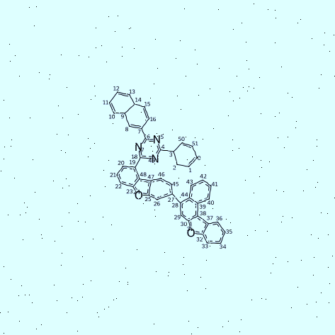 C1=CCC(c2nc(C3=CC4C=CC=CC4C=C3)nc(-c3cccc4oc5cc(-c6cc7oc8ccccc8c7c7ccccc67)ccc5c34)n2)C=C1